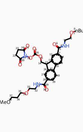 CCCCOCCNC(=O)c1ccc2c(c1)C(COC(=O)ON1C(=O)CCC1=O)c1cc(C(=O)NCCOCCCOC)ccc1-2